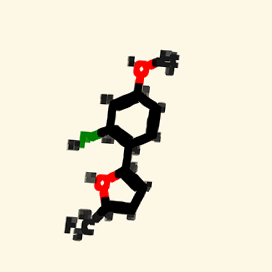 CCOc1ccc(-c2ccc(C(F)(F)F)o2)c(F)c1